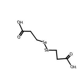 O=C(O)CC[Se][Se]CCC(=O)O